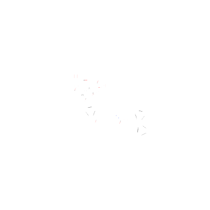 COC(=O)[C@H]1O[C@@H](Oc2ccc(C=O)c(CCCCNC(=O)OCC3c4ccccc4-c4ccccc43)c2)[C@H](CC(=O)O)[C@@H](CC(=O)O)[C@@H]1CC(=O)O